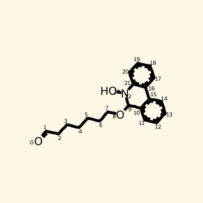 O=CCCCCCCOC1c2ccccc2-c2ccccc2N1O